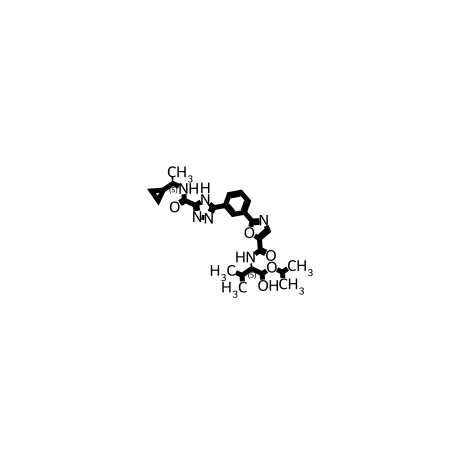 CC(C)OC(O)[C@@H](NC(=O)c1cnc(-c2cccc(-c3nnc(C(=O)N[C@@H](C)C4CC4)[nH]3)c2)o1)C(C)C